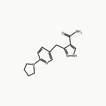 NC(=O)c1c[nH]nc1Cc1ccc(N2CCCC2)nc1